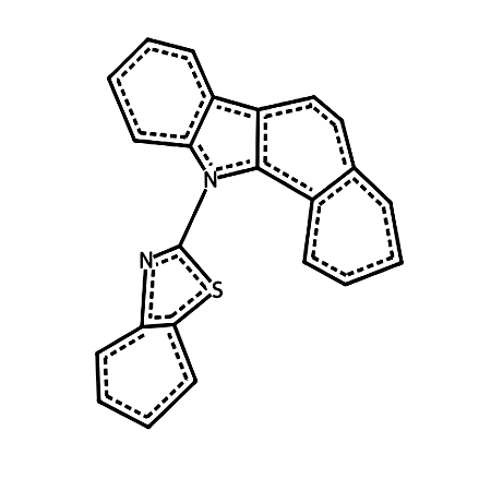 c1ccc2c(c1)ccc1c3ccccc3n(-c3nc4ccccc4s3)c21